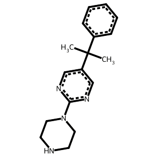 CC(C)(c1ccccc1)c1cnc(N2CCNCC2)nc1